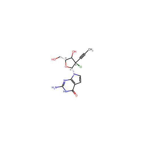 CC#C[C@@]1(Cl)C(O)[C@@H](CO)O[C@H]1n1ccc2c(=O)[nH]c(N)nc21